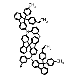 C=Cc1ccc(C2(c3ccc(C)cc3)c3ccccc3-c3ccc(N(C4=CC5C(C=C4)c4ccccc4C54c5ccccc5-c5ccc(N(c6cccc(F)c6)c6ccc7c(c6)C(c6ccc(C)cc6)(c6ccc(C=C)cc6)c6ccccc6-7)cc54)c4cccc(F)c4)cc32)cc1